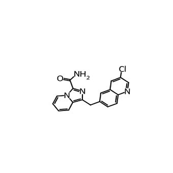 NC(=O)c1nc(Cc2ccc3ncc(Cl)cc3c2)c2ccccn12